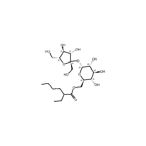 CCCCC(CC)C(=O)OC[C@H]1O[C@H](O[C@]2(CO)O[C@H](CO)[C@@H](O)[C@@H]2O)[C@H](O)[C@@H](O)[C@@H]1O